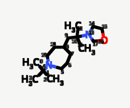 CC(C)(C)N1CCCC(CC(C)(C)N2CCOC2)CC1